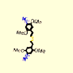 COC1=CC(=[N+]=[N-])C(OC)C=C1CCSCCC1=CC(OC)C(=[N+]=[N-])C=C1OC